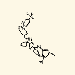 N#Cc1cc(C2CC2)c2oc(-c3ccc(C(=O)NCC4CCCN(c5ccc(C(F)(F)F)cn5)CC4)cc3)nc2c1